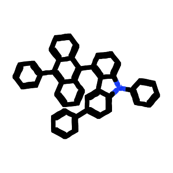 c1ccc(-c2ccc3c(c2)c2c(-c4c5ccccc5c(-c5ccccc5)c5ccccc45)cccc2n3-c2ccccc2)cc1